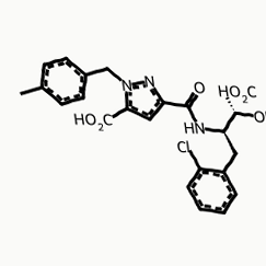 Cc1ccc(Cn2nc(C(=O)N[C@H](Cc3ccccc3Cl)[C@@H](O)C(=O)O)cc2C(=O)O)cc1